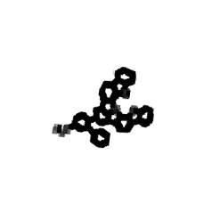 Cc1ccc(-c2cc3c4ccc5c(c4n4c3c(c2)c2ccc3c6ccccc6oc3c24)OC2=CC=CCC25)c(-c2ccccc2)c1